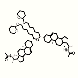 CC(=O)N[C@@H](C)[C@H]1CCC2C3CC=C4C[C@@H](C(CCCCCOC5CCCCO5)OC(CCCCCOC5CCCCO5)[C@H]5CC[C@@]6(C)C(=CCC7C6CC[C@@]6(C)C7CC[C@@H]6[C@H](C)NC(C)=O)C5)CC[C@]4(C)C3CC[C@@]21C